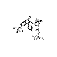 CC(C)(C)C1(C(C)(C)C)O[C@@H](CC(=O)OCC[Si](C)(C)C)C[C@@H](/C=C/c2c(C3CC3)cc3ccc(OCP(=O)(O)O)cc3c2-c2ccc(F)cc2)O1